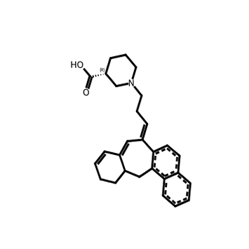 O=C(O)[C@@H]1CCCN(CCC=C2C=C3C=CCCC3Cc3c2ccc2ccccc32)C1